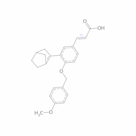 COc1ccc(COc2ccc(/C=C/C(=O)O)cc2C2=C3CCC(C3)C2)cc1